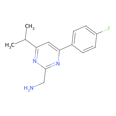 CC(C)c1cc(-c2ccc(F)cc2)nc(CN)n1